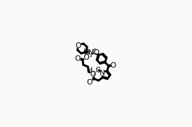 Cc1ccc(C(=O)c2ccc(CC(=O)OCCCC(=O)OC3(N=O)CCOCC3)n2C)cc1